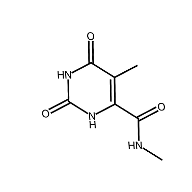 CNC(=O)c1[nH]c(=O)[nH]c(=O)c1C